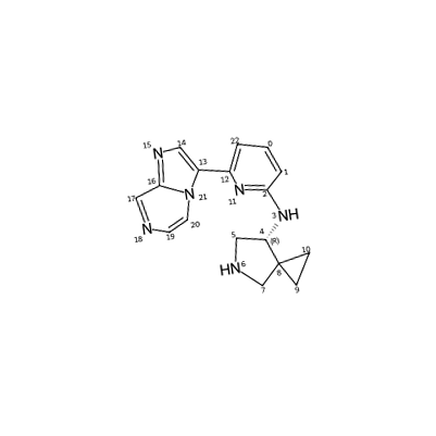 c1cc(N[C@H]2CNCC23CC3)nc(-c2cnc3cnccn23)c1